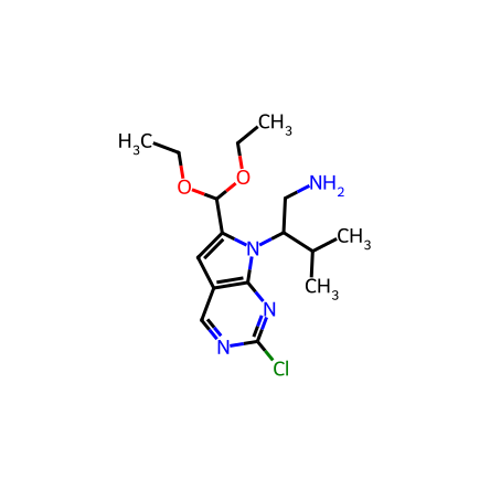 CCOC(OCC)c1cc2cnc(Cl)nc2n1C(CN)C(C)C